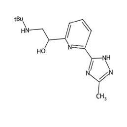 Cc1n[nH]c(-c2cccc(C(O)CNC(C)(C)C)n2)n1